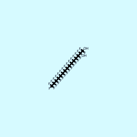 OC(F)(F)C(O)(F)C(F)(F)C(F)(F)C(F)(F)C(F)(F)C(F)(F)C(F)(F)C(F)(F)C(F)(F)C(F)(F)C(F)(F)C(F)(F)C(F)(F)C(F)(F)F